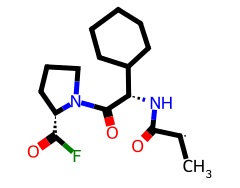 C[CH]C(=O)N[C@H](C(=O)N1CCC[C@H]1C(=O)F)C1CCCCC1